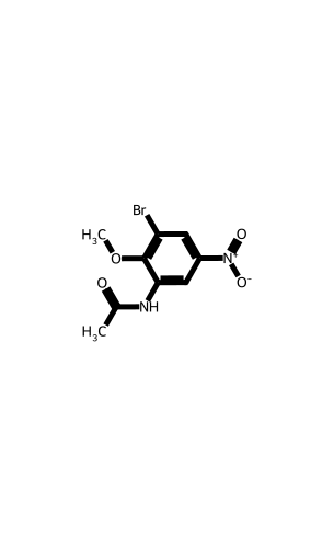 COc1c(Br)cc([N+](=O)[O-])cc1NC(C)=O